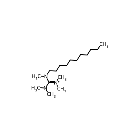 CCCCCCCCCCCN(C)C(N(C)C)=[N+](C)C